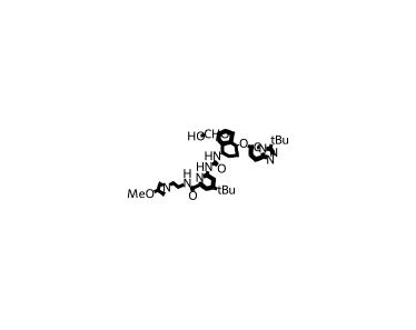 COC1CN(CCNC(=O)c2cc(C(C)(C)C)cc(NC(=O)N[C@H]3CC[C@@H](Oc4ccc5nnc(C(C)(C)C)n5c4)c4ccccc43)n2)C1.O=CO